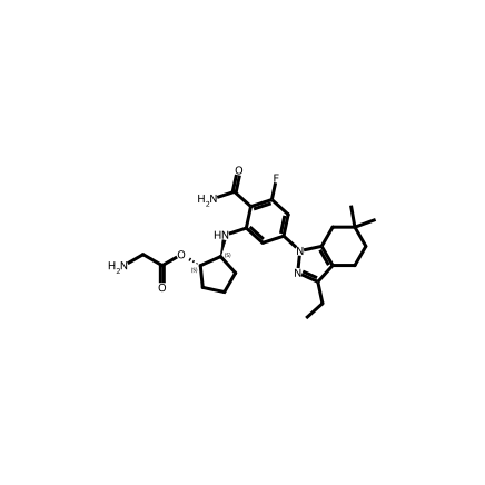 CCc1nn(-c2cc(F)c(C(N)=O)c(N[C@H]3CCC[C@@H]3OC(=O)CN)c2)c2c1CCC(C)(C)C2